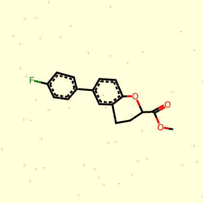 COC(=O)C1CCc2cc(-c3ccc(F)cc3)ccc2O1